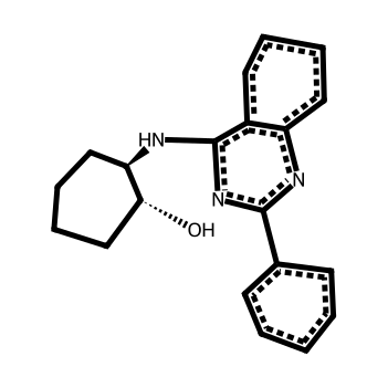 O[C@@H]1CCCC[C@H]1Nc1nc(-c2ccccc2)nc2ccccc12